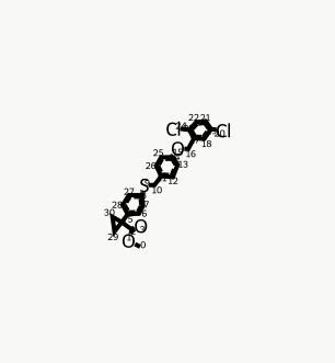 COC(=O)C1(c2ccc(SCc3ccc(OCc4cc(Cl)ccc4Cl)cc3)cc2)CC1